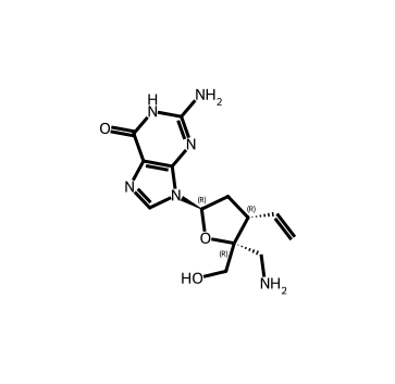 C=C[C@H]1C[C@H](n2cnc3c(=O)[nH]c(N)nc32)O[C@]1(CN)CO